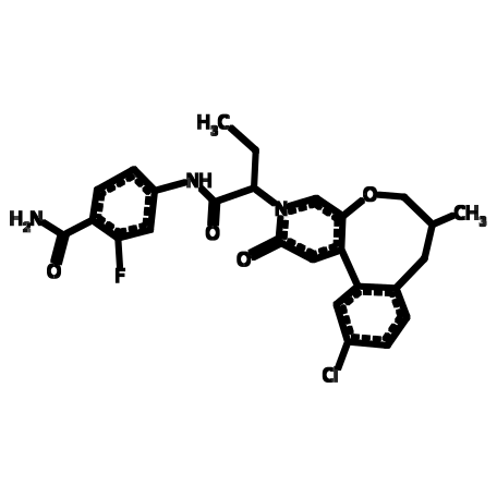 CCC(C(=O)Nc1ccc(C(N)=O)c(F)c1)n1cc2c(cc1=O)-c1cc(Cl)ccc1CC(C)CO2